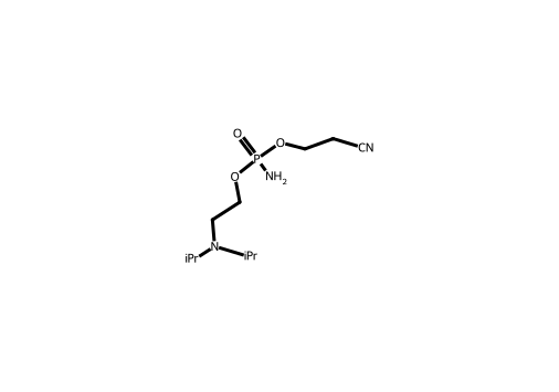 CC(C)N(CCOP(N)(=O)OCCC#N)C(C)C